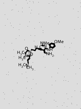 C=C(/N=C(Nc1ccc(OC)cc1)\C(C#CCCCNC(=O)[C@H](C)N(C)C(=O)/C=C/CN(C)C)=C/N)NC